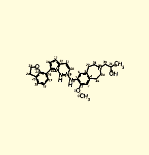 COc1cc2c(cc1NN1C=Cc3ccc(-c4cccc5c4OCC5)n3N1)CCN(CC(C)O)CC2